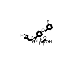 Fc1cccc(COc2ccc(-c3noc(CC4CNC4)n3)cc2)c1.O=C(O)C(F)(F)F